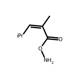 CC(=CC(C)C)C(=O)ON